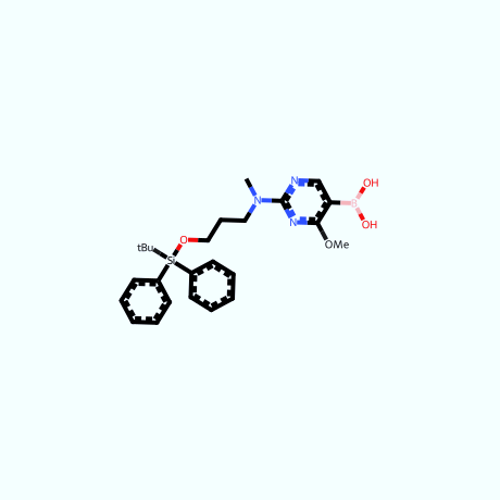 COc1nc(N(C)CCCO[Si](c2ccccc2)(c2ccccc2)C(C)(C)C)ncc1B(O)O